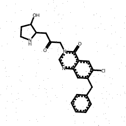 O=C(CC1NCCC1O)Cn1cnc2cc(Cc3ccccc3)c(Cl)cc2c1=O